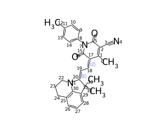 CC1=C(C#N)C(=O)N(c2ccc(C)cc2)C(=O)/C1=C\C=C1\N2CCCc3cccc(c32)C1(C)C